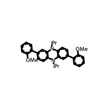 COc1ccccc1-c1ccc2c(c1)N(C(C)C)c1ccc(-c3ccccc3OC)cc1N2C(C)C